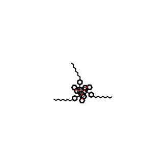 CCCCCCCCc1ccc(C(OB(OC(c2ccccc2)(c2ccccc2)c2ccc(CCCCCCCC)cc2)OC(c2ccccc2)(c2ccccc2)c2ccc(CCCCCCCC)cc2)(c2ccccc2)c2ccccc2)cc1